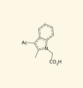 CC(=O)c1c(C)n(CC(=O)O)c2cc[c]cc12